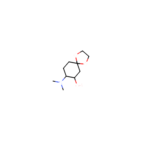 CN(C)C1CCC2(CC1O)OCCO2